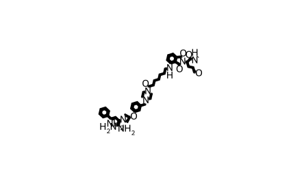 CNC(=O)C(CCC=O)N1C(=O)c2cccc(NCCCCCCC(=O)N3CCN(Cc4cccc(OC5CN(C(/C=C(\N)c6ccccc6)=C(N)N)C5)c4)CC3)c2C1=O